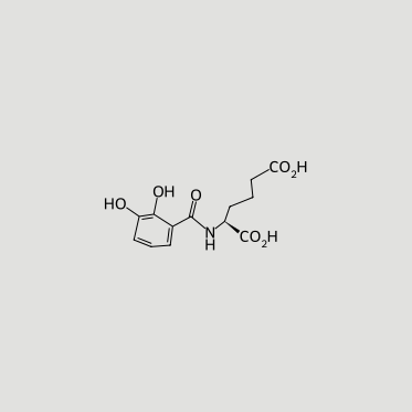 O=C(O)CCC[C@H](NC(=O)c1cccc(O)c1O)C(=O)O